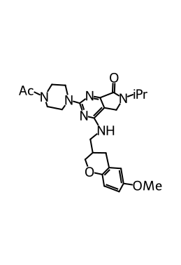 COc1ccc2c(c1)CC(CNc1nc(N3CCN(C(C)=O)CC3)nc3c1CN(C(C)C)C3=O)CO2